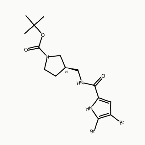 CC(C)(C)OC(=O)N1CC[C@H](CNC(=O)c2cc(Br)c(Br)[nH]2)C1